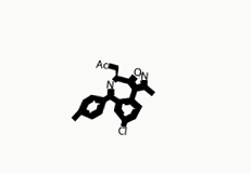 CC(=O)C[C@@H]1N=C(c2ccc(C)cc2)c2cc(Cl)ccc2-c2c(C)noc21